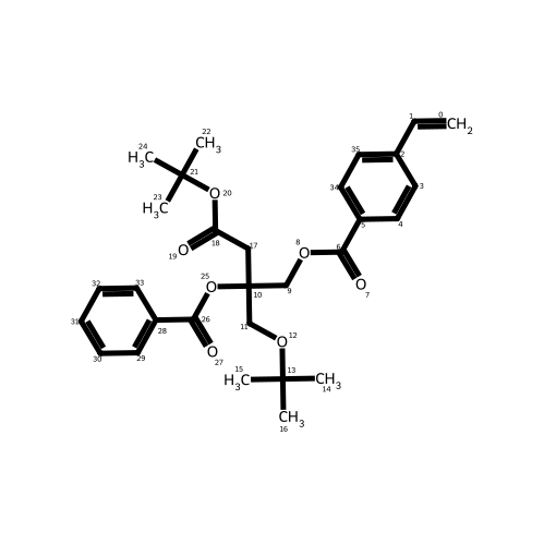 C=Cc1ccc(C(=O)OCC(COC(C)(C)C)(CC(=O)OC(C)(C)C)OC(=O)c2ccccc2)cc1